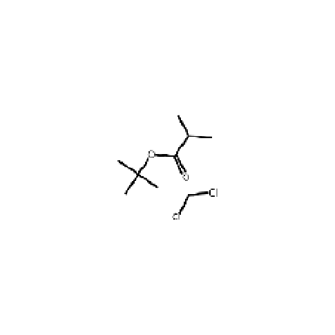 CC(C)C(=O)OC(C)(C)C.ClCCl